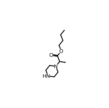 CCCCOC(=O)C(C)N1CCNCC1